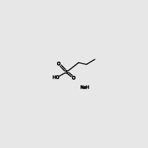 CCCS(=O)(=O)O.[NaH]